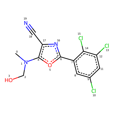 CN(CO)c1oc(-c2cc(Cl)cc(Cl)c2Cl)nc1C#N